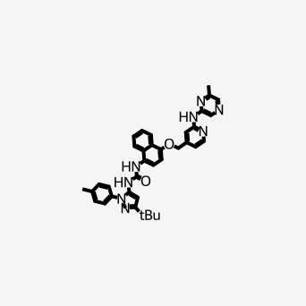 Cc1ccc(-n2nc(C(C)(C)C)cc2NC(=O)Nc2ccc(OCc3ccnc(Nc4cncc(C)n4)c3)c3ccccc23)cc1